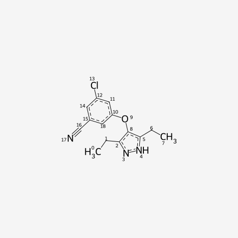 CCc1n[nH]c(CC)c1Oc1cc(Cl)cc(C#N)c1